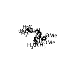 COc1cc(OC)c(F)c(N(Cc2nccn2S(=O)(=O)N(C)C)c2ccc3ncc(N4C[C@H](C)N(C(=O)OC(C)(C)C)[C@@H](C)C4)nc3n2)c1